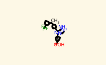 C[C@H](c1ccc(-c2nc(C34CCC(C(=O)O)(CC3)CC4)n3ccnc(N)c23)cc1)c1cccc(C(F)(F)F)c1